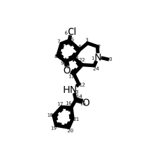 CN1CCc2c(Cl)ccc3oc(CNC(=O)c4ccccc4)c(c23)C1